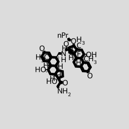 CCCC1O[C@@H]2C[C@H]3[C@@H]4CCC5=CC(=O)C=C[C@]5(C)[C@@]4(F)[C@@H](O)C[C@]3(C)[C@]2(C(=O)CNC[C@H]2C[C@H]3[C@@H]4CC[C@](O)(C(=O)CN)[C@H]4C[C@H](O)[C@@H]3[C@@]3(C)C=CC(=O)C=C23)O1